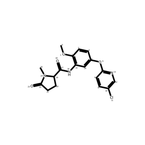 COc1ccc(Oc2ccc(Cl)cn2)cc1NC(=O)C1CCC(=O)N1C